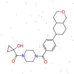 O=C(c1ccc(C2CCC3COCCC3C2)cc1)N1CCN(C(=O)C2(O)CC2)CC1